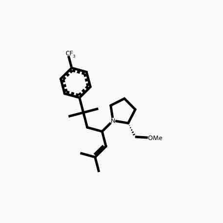 COC[C@H]1CCCN1C(C=C(C)C)CC(C)(C)c1ccc(C(F)(F)F)cc1